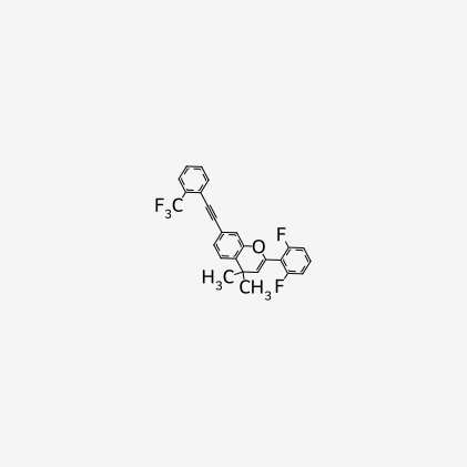 CC1(C)C=C(c2c(F)cccc2F)Oc2cc(C#Cc3ccccc3C(F)(F)F)ccc21